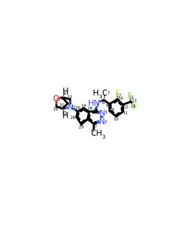 Cc1nnc(N[C@H](C)c2cccc(C(F)F)c2F)c2cc(N3C[C@H]4C[C@@H]3CO4)ccc12